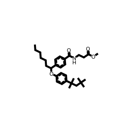 CCCCCCC(Oc1ccc(C(C)(C)CC(C)(C)C)cc1)c1ccc(C(=O)NCCC(=O)OC)cc1